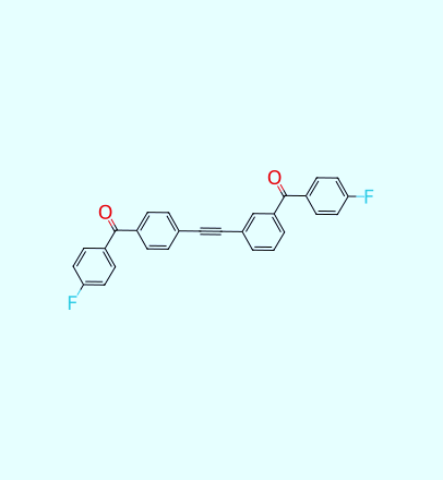 O=C(c1ccc(F)cc1)c1ccc(C#Cc2cccc(C(=O)c3ccc(F)cc3)c2)cc1